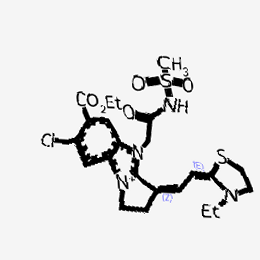 CCOC(=O)c1cc2c(cc1Cl)[n+]1c(n2CC(=O)NS(C)(=O)=O)/C(=C\C=C2\SCCN2CC)CC1